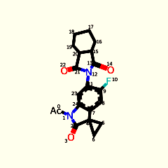 CC(=O)N1C(=O)C2(CC2)c2cc(F)c(N3C(=O)C4CCCCC4C3=O)cc21